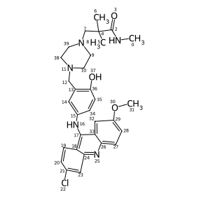 CNC(=O)C(C)(C)CN1CCN(Cc2cc(Nc3c4ccc(Cl)cc4nc4ccc(OC)cc34)ccc2O)CC1